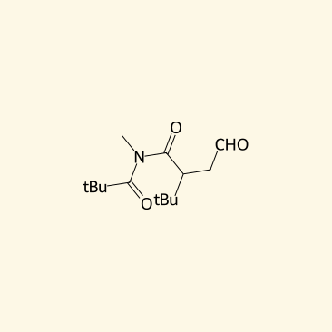 CN(C(=O)C(CC=O)C(C)(C)C)C(=O)C(C)(C)C